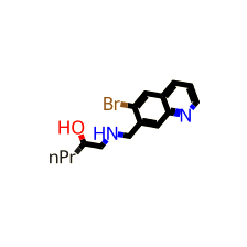 CCCC(O)CNCc1cc2ncccc2cc1Br